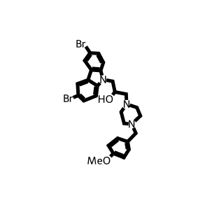 COc1ccc(CN2CCN(CC(O)Cn3c4ccc(Br)cc4c4cc(Br)ccc43)CC2)cc1